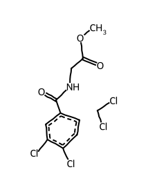 COC(=O)CNC(=O)c1ccc(Cl)c(Cl)c1.ClCCl